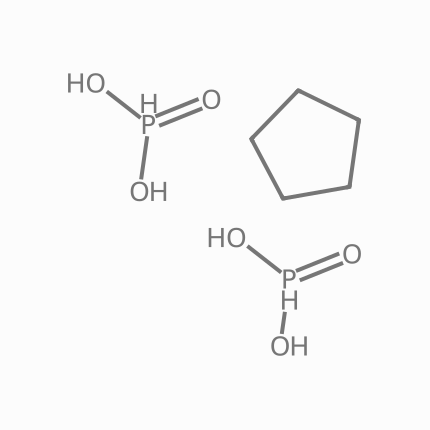 C1CCCC1.O=[PH](O)O.O=[PH](O)O